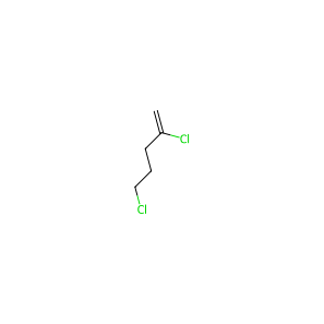 C=C(Cl)CCCCl